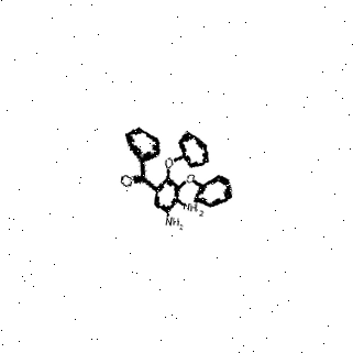 Nc1cc(C(=O)c2ccccc2)c(Oc2ccccc2)c(Oc2ccccc2)c1N